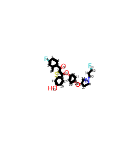 Cc1cc(F)ccc1C(=O)c1sc2cc(O)ccc2c1Oc1ccc(O[C@@H]2CCN(CCCF)C2)cc1